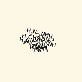 CCN(CC)CC(O)C(CO)(C(O)C(OCCN)N(C(N)CCCN)C(C)N1CCNCC1)N(C(C)C)C(C)C